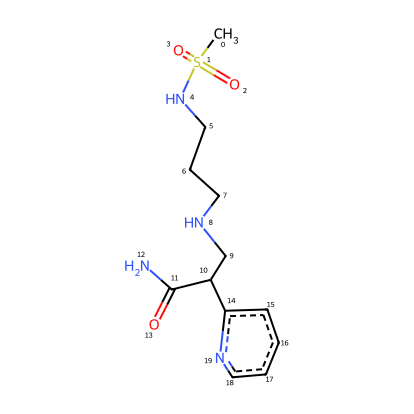 CS(=O)(=O)NCCCNCC(C(N)=O)c1ccccn1